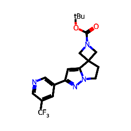 CC(C)(C)OC(=O)N1CC2(CCn3nc(-c4cncc(C(F)(F)F)c4)cc32)C1